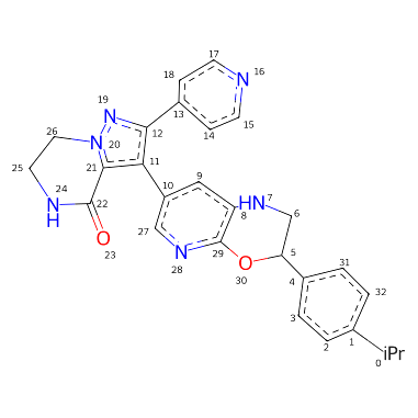 CC(C)c1ccc(C2CNc3cc(-c4c(-c5ccncc5)nn5c4C(=O)NCC5)cnc3O2)cc1